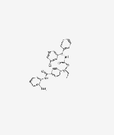 CC[C@H](OC(=O)N[C@@H](c1ccccc1)c1cncc(Cl)c1)c1ccc(C(=O)Nc2ccccc2N)cc1